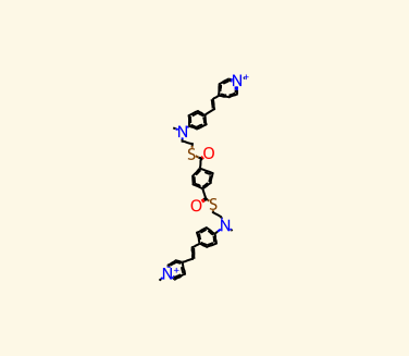 CN(CCSC(=O)c1ccc(C(=O)SCCN(C)c2ccc(/C=C/c3cc[n+](C)cc3)cc2)cc1)c1ccc(/C=C/c2cc[n+](C)cc2)cc1